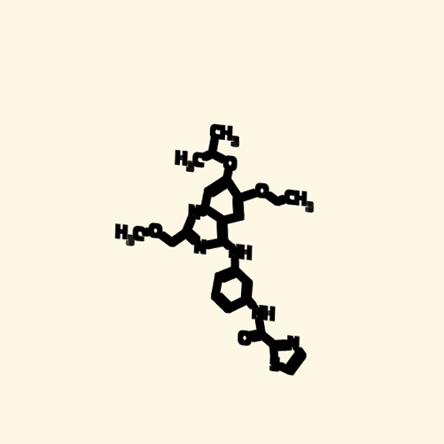 CCOc1cc2c(Nc3cccc(NC(=O)c4nccs4)c3)nc(COC)nc2cc1OC(C)C